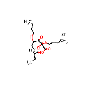 CCCCOC(CC)C(=O)C(OCCCC)(OCCCC)C(=O)O.[Zr]